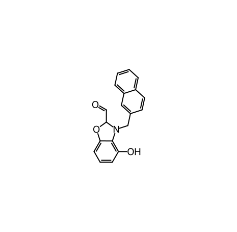 O=CC1Oc2cccc(O)c2N1Cc1ccc2ccccc2c1